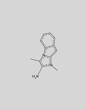 Cc1c(N)n(C)c2cc3ccccc3n12